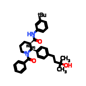 CC(C)(O)CCc1ccc([C@H]2[C@@H](C(=O)Nc3cccc(C(C)(C)C)c3)CCCN2C(=O)c2ccccc2)cc1